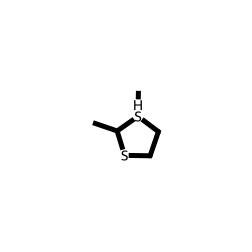 CC1SCC[SH]1C